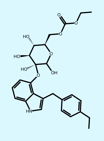 CCOC(=O)OC[C@H]1OC(O)[C@@](O)(Oc2cccc3[nH]cc(Cc4ccc(CC)cc4)c23)[C@@H](O)[C@@H]1O